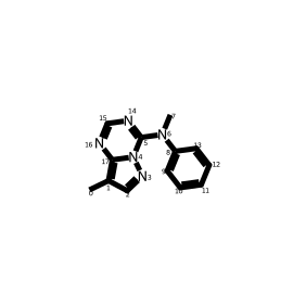 Cc1cnn2c(N(C)c3ccccc3)ncnc12